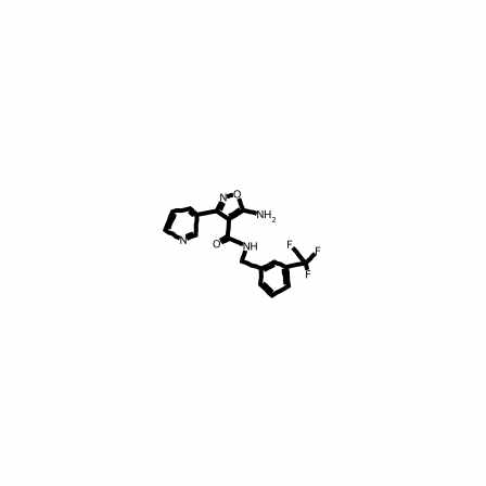 Nc1onc(-c2cccnc2)c1C(=O)NCc1cccc(C(F)(F)F)c1